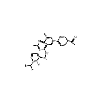 CC(=O)N1CC=C(c2cc(C)c3nc(C)cc(N[C@H](C)c4cccc(C(F)F)c4F)c3c2)CC1